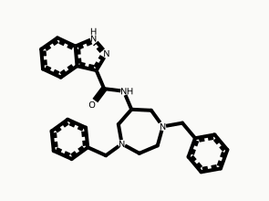 O=C(NC1CN(Cc2ccccc2)CCN(Cc2ccccc2)C1)c1n[nH]c2ccccc12